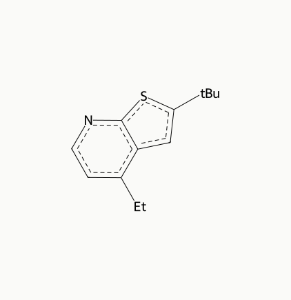 CCc1ccnc2sc(C(C)(C)C)cc12